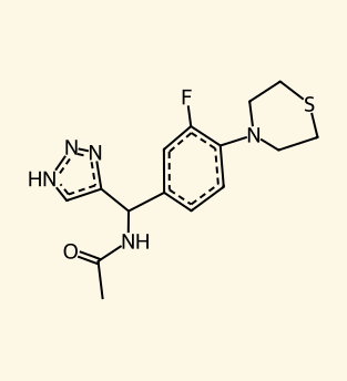 CC(=O)NC(c1ccc(N2CCSCC2)c(F)c1)c1c[nH]nn1